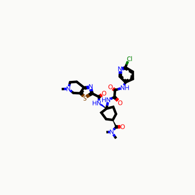 CN1CCc2nc(C(=O)N[C@]3(NC(=O)C(=O)Nc4ccc(Cl)nc4)CC[C@H](C(=O)N(C)C)CC3)sc2C1